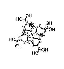 OB(O)c1ccc(C(c2ccc(B(O)O)cc2S)(c2ccc(B(O)O)cc2S)c2ccc(B(O)O)cc2S)c(S)c1